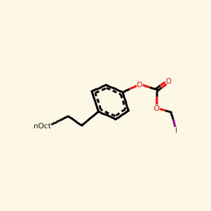 CCCCCCCCCCc1ccc(OC(=O)OCI)cc1